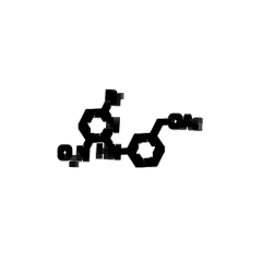 CC(=O)OCc1cccc(Nc2nc(Br)ccc2[N+](=O)[O-])c1